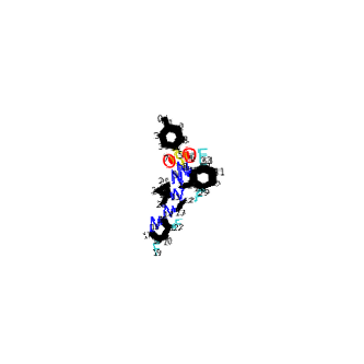 Cc1ccc(S(=O)(=O)n2nc(N3CCN(c4ncc(F)cc4F)CC34CC4)c3c(F)ccc(F)c32)cc1